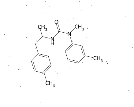 Cc1ccc(CC(C)NC(=O)N(C)c2cccc(C)c2)cc1